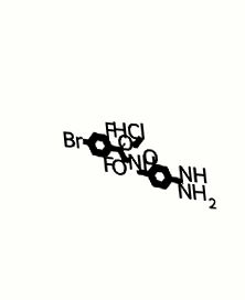 CCO[C@H](C(=O)NCc1ccc(C(=N)N)cc1OC)c1c(F)cc(Br)cc1F.Cl